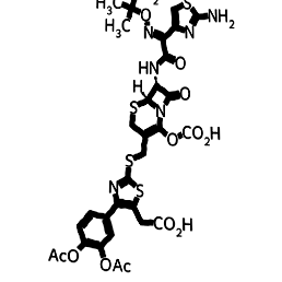 CC(=O)Oc1ccc(-c2nc(SCC3=C(OC(=O)O)N4C(=O)[C@@H](NC(=O)C(=NOC(C)(C)C(=O)O)c5csc(N)n5)[C@@H]4SC3)sc2CC(=O)O)cc1OC(C)=O